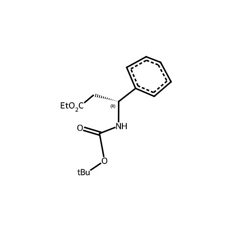 CCOC(=O)C[C@@H](NC(=O)OC(C)(C)C)c1ccccc1